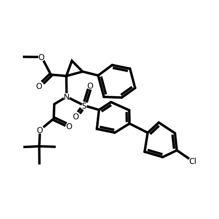 COC(=O)C1(N(CC(=O)OC(C)(C)C)S(=O)(=O)c2ccc(-c3ccc(Cl)cc3)cc2)CC1c1ccccc1